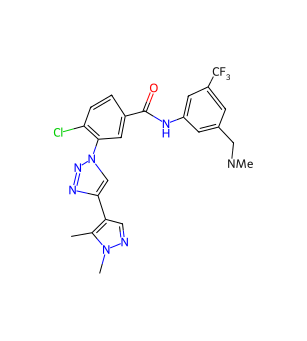 CNCc1cc(NC(=O)c2ccc(Cl)c(-n3cc(-c4cnn(C)c4C)nn3)c2)cc(C(F)(F)F)c1